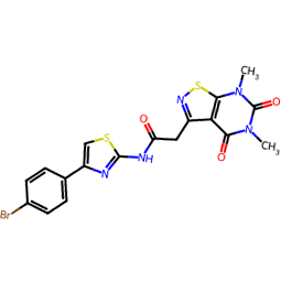 Cn1c(=O)c2c(CC(=O)Nc3nc(-c4ccc(Br)cc4)cs3)nsc2n(C)c1=O